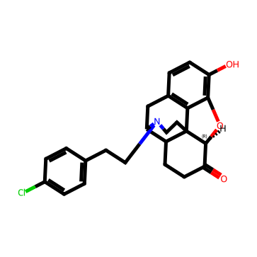 O=C1CCC2C3Cc4ccc(O)c5c4C2(CCN3CCc2ccc(Cl)cc2)[C@H]1O5